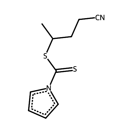 CC(CCC#N)SC(=S)n1cccc1